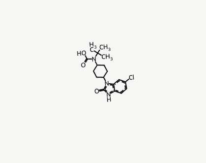 CC(C)(C)N(C(=O)O)C1CCC(n2c(=O)[nH]c3ccc(Cl)cc32)CC1